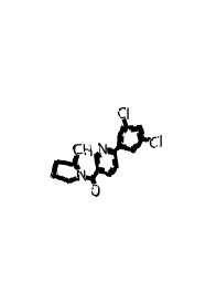 CC1CCCN1C(=O)c1ccc(-c2cc(Cl)cc(Cl)c2)nc1